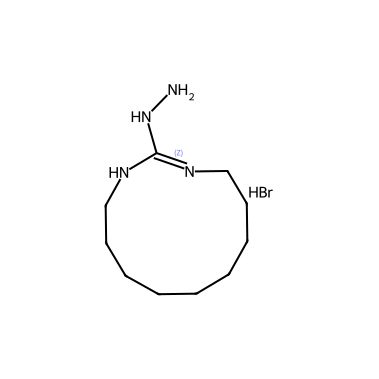 Br.NN/C1=N\CCCCCCCCCN1